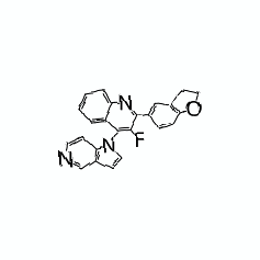 Fc1c(-c2ccc3c(c2)CCO3)nc2ccccc2c1-n1ccc2cnccc21